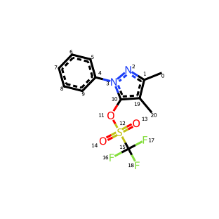 Cc1nn(-c2ccccc2)c(OS(=O)(=O)C(F)(F)F)c1C